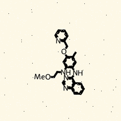 COCCNc1cc(OCc2ccccn2)c(C)cc1Nc1ncnc2ccccc12